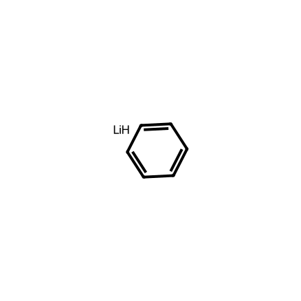 [LiH].c1ccccc1